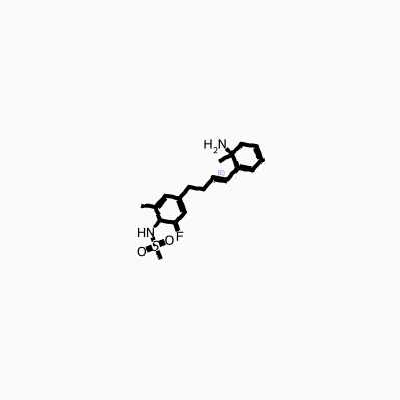 CC1=CC(CC/C=C/C2=CC=CCC2(C)N)=CC(F)C1NS(C)(=O)=O